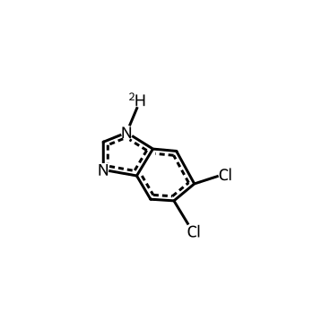 [2H]n1cnc2cc(Cl)c(Cl)cc21